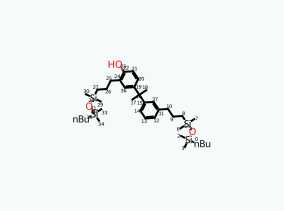 CCCC[Si](C)(C)O[Si](C)(C)CCCc1cccc(C(C)(C)c2ccc(O)c(CCC[Si](C)(C)O[Si](C)(C)CCCC)c2)c1